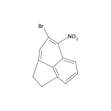 O=[N+]([O-])c1c(Br)cc2c3c(cccc13)CC2